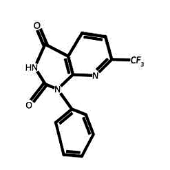 O=c1[nH]c(=O)n(-c2ccccc2)c2nc(C(F)(F)F)ccc12